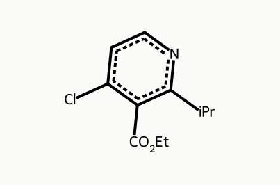 CCOC(=O)c1c(Cl)ccnc1C(C)C